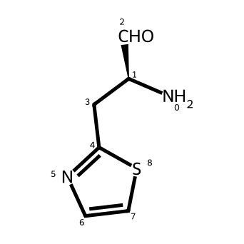 N[C@H](C=O)Cc1nccs1